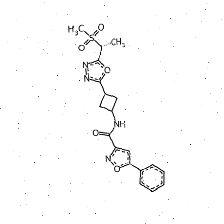 C[C@H](c1nnc(C2CC(NC(=O)c3cc(-c4ccccc4)on3)C2)o1)S(C)(=O)=O